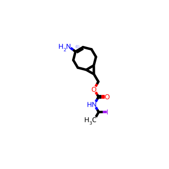 CC(I)NC(=O)OCC1C2CC/C=C(/N)CCC21